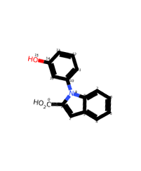 O=C(O)c1cc2cc[c]cc2n1-c1cccc(O)c1